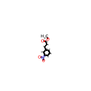 COC(=O)CCc1cccc([N+](=O)[O-])c1